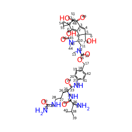 CC1=C2C(=CC(C)(CO)C2C(CN(C)C(=O)OCc2ccc(NC(=O)[C@H](CCCNC(N)=O)NC(=O)[C@@H](N)C(C)C)cc2)N(C)C(=O)O)C(=O)[C@](C)(O)C12CC2